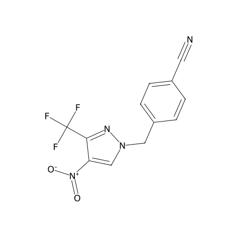 N#Cc1ccc(Cn2cc([N+](=O)[O-])c(C(F)(F)F)n2)cc1